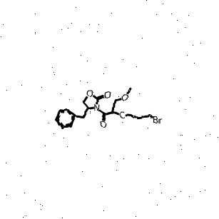 COCC(CCCCBr)C(=O)N1C(=O)OCC1Cc1ccccc1